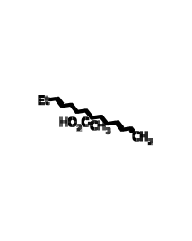 C=CC=CCCCCCCC=CCC.CC(=O)O